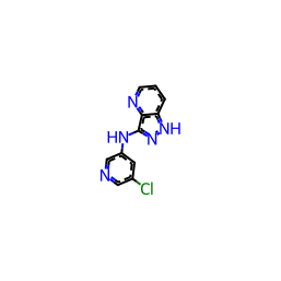 Clc1cncc(Nc2n[nH]c3cccnc23)c1